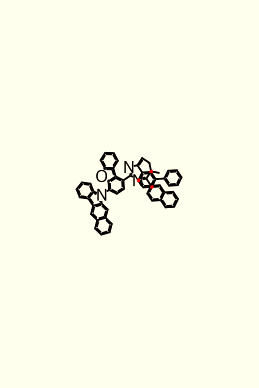 CC1C/C=C(c2cccc(-c3ccccc3)c2)/N=C(c2ccc(-n3c4ccccc4c4cc5ccccc5cc43)c3oc4ccccc4c23)\N=C/1c1ccc2ccccc2c1